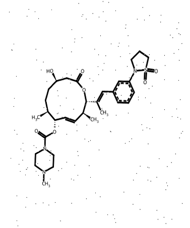 C/C(=C\c1cccc(N2CCCS2(=O)=O)c1)[C@H]1OC(=O)C[C@H](O)CC[C@H](C)[C@@H](OC(=O)N2CCN(C)CC2)/C=C/[C@@H]1C